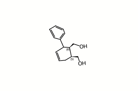 OC[C@H]1CC=CC(c2ccccc2)[C@H]1CO